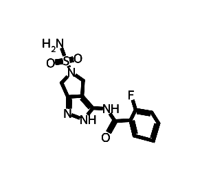 NS(=O)(=O)N1Cc2n[nH]c(NC(=O)c3ccccc3F)c2C1